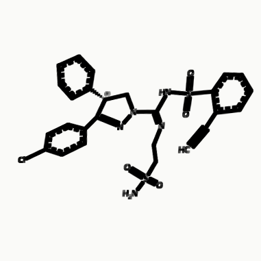 C#Cc1ccccc1S(=O)(=O)NC(=NCCS(N)(=O)=O)N1C[C@@H](c2ccccc2)C(c2ccc(Cl)cc2)=N1